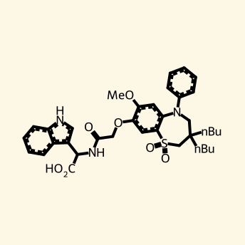 CCCCC1(CCCC)CN(c2ccccc2)c2cc(OC)c(OCC(=O)NC(C(=O)O)c3c[nH]c4ccccc34)cc2S(=O)(=O)C1